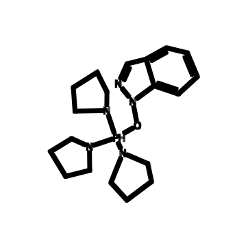 c1ccc2c(c1)cnn2O[PH](N1CCCC1)(N1CCCC1)N1CCCC1